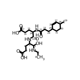 CCNC(O)C(CCC(=O)O)N[C@@H](O)C(CCC(=O)O)NC(=O)CCC1C=CC(I)CC1